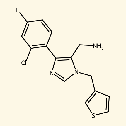 NCc1c(-c2ccc(F)cc2Cl)ncn1Cc1ccsc1